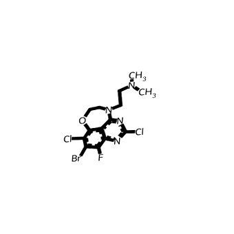 CN(C)CCN1CCOc2c(Cl)c(Br)c(F)c3nc(Cl)nc1c23